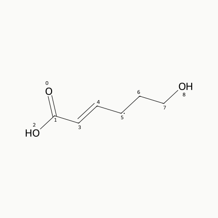 O=C(O)C=C[CH]CCO